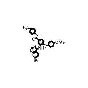 COc1ccc(Sc2ccc(C(=O)Nc3ccc(C(F)(F)F)cc3)cc2Nc2ncnc3nc(C(C)C)ccc23)cc1